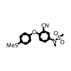 CSc1ccc(Oc2ccc(N(C)S(C)(=O)=O)cc2C#N)cc1